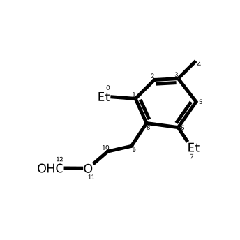 CCc1cc(C)cc(CC)c1CCOC=O